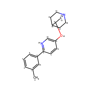 Cc1cccc(-c2ccc(OC3CN4CCC3CC4)cn2)c1